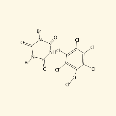 ClOc1c(Cl)c(Cl)c(Cl)c(Cl)c1Cl.O=c1[nH]c(=O)n(Br)c(=O)n1Br